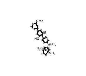 COc1cc(-c2cc(O)c(-c3ccc(N(C)[C@@H]4C[C@]5(C)CC[C@](C)(C4)N5)nn3)c(F)c2)ncn1